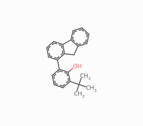 CC(C)(C)c1cccc(-c2cccc3c2Cc2ccccc2-3)c1O